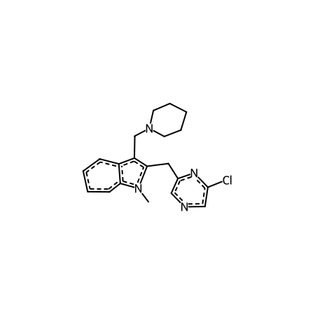 Cn1c(Cc2cncc(Cl)n2)c(CN2CCCCC2)c2ccccc21